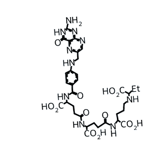 CCC(NCCCC(NC(=O)CCC(NC(=O)CCC(NC(=O)c1ccc(NCc2cnc3nc(N)[nH]c(=O)c3n2)cc1)C(=O)O)C(=O)O)C(=O)O)C(=O)O